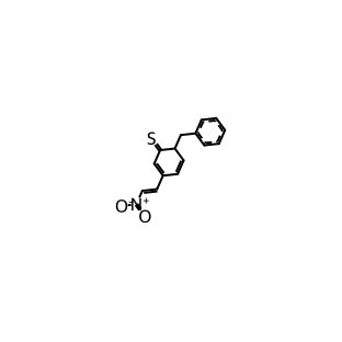 O=[N+]([O-])/C=C/C1=CC(=S)C(Cc2ccccc2)C=C1